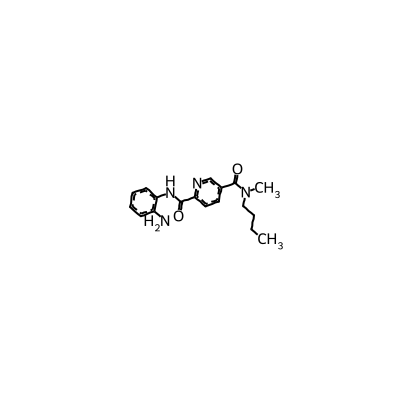 CCCCN(C)C(=O)c1ccc(C(=O)Nc2ccccc2N)nc1